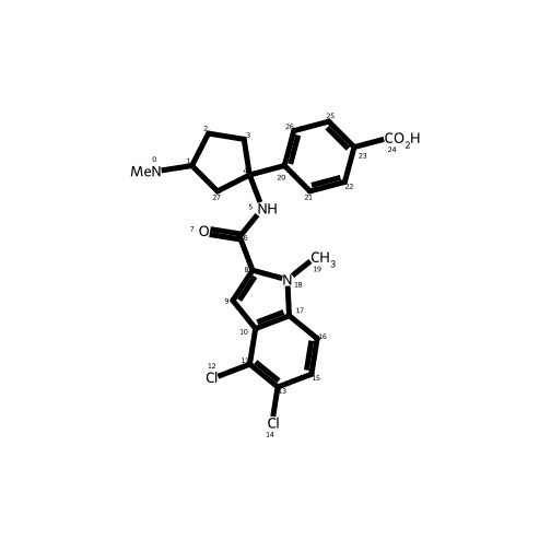 CNC1CCC(NC(=O)c2cc3c(Cl)c(Cl)ccc3n2C)(c2ccc(C(=O)O)cc2)C1